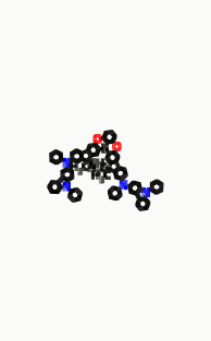 CC1(C)c2cc(N(c3ccccc3)c3ccc4c(c3)c3ccccc3n4-c3ccccc3)ccc2-c2cc3c(cc21)B1c2cc4c(cc2Oc2cccc(c21)O3)-c1ccc(N(c2ccccc2)c2ccc3c(c2)c2ccccc2n3-c2ccccc2)cc1C4(C)C